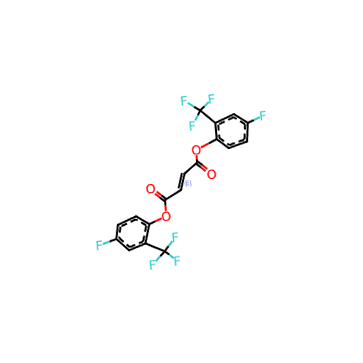 O=C(/C=C/C(=O)Oc1ccc(F)cc1C(F)(F)F)Oc1ccc(F)cc1C(F)(F)F